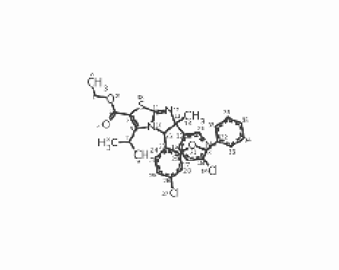 CCOC(=O)C1=C(C(C)C)N2C(=NC(C)(c3ccc(Cl)nc3)C2c2ccc(Cl)cc2OCc2ccccc2)S1